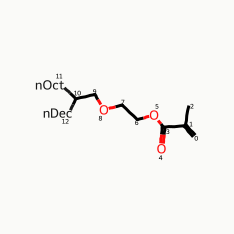 C=C(C)C(=O)OCCOCC(CCCCCCCC)CCCCCCCCCC